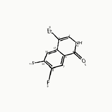 CCc1c[nH]c(=O)c2cc(F)c(F)cc12